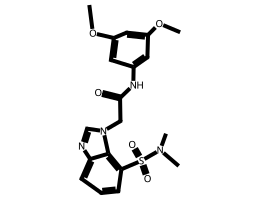 COc1cc(NC(=O)Cn2cnc3cccc(S(=O)(=O)N(C)C)c32)cc(OC)c1